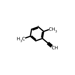 C#Cc1cc(C)c[c]c1C